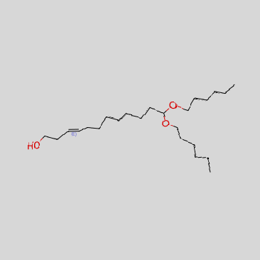 CCCCCCOC(CCCCCCC/C=C/CCO)OCCCCCC